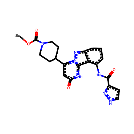 CC(C)(C)OC(=O)N1CCC(c2cc(=O)[nH]c3c4c(NC(=O)c5cc[nH]n5)cccc4nn23)CC1